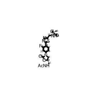 CC(=O)NC[C@H]1CN(c2ccc(-c3nnc(CNS(C)(=O)=O)s3)c(F)c2)C(=O)O1